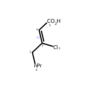 CCCC/C(Cl)=C/C(=O)O